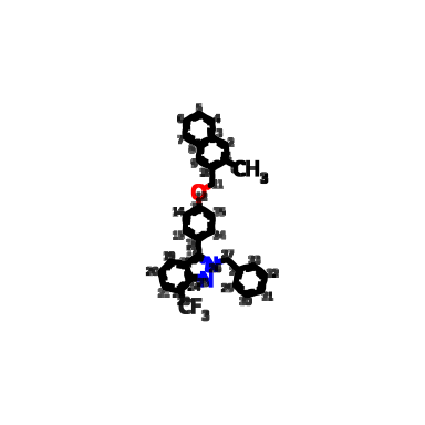 Cc1cc2ccccc2cc1COc1ccc(-c2c3cccc(C(F)(F)F)c3nn2Cc2ccccc2)cc1